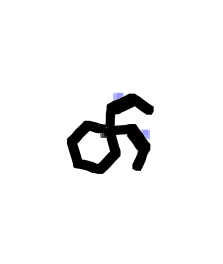 C/C=C\[Si]1(/C=C\C)CCCCC1